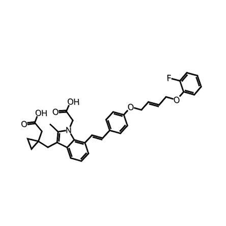 Cc1c(CC2(CC(=O)O)CC2)c2cccc(C=Cc3ccc(OC/C=C/COc4ccccc4F)cc3)c2n1CC(=O)O